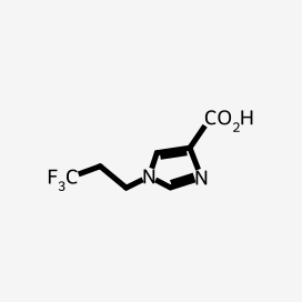 O=C(O)c1cn(CCC(F)(F)F)cn1